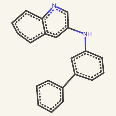 c1ccc(-c2cccc(Nc3cnc4ccccc4c3)c2)cc1